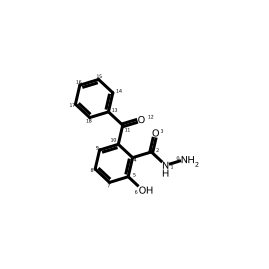 NNC(=O)c1c(O)cccc1C(=O)c1ccccc1